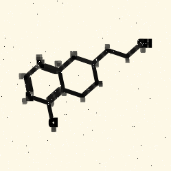 OCCC1CCc2c(Cl)ncnc2C1